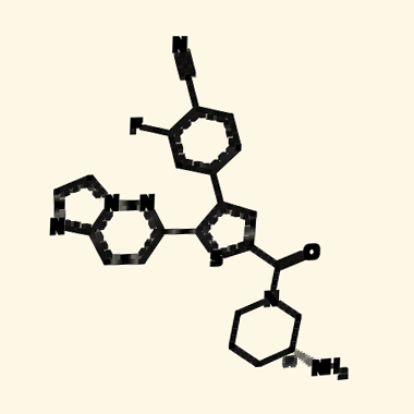 N#Cc1ccc(-c2cc(C(=O)N3CCC[C@@H](N)C3)sc2-c2ccc3nccn3n2)cc1F